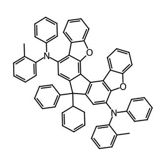 Cc1ccccc1N(c1ccccc1)c1cc2c(c3c1oc1ccccc13)-c1c(cc(N(c3ccccc3)c3ccccc3C)c3c1oc1ccccc13)C2(c1ccccc1)C1C=CC=CC1